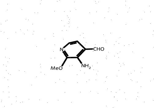 COc1nccc(C=O)c1N